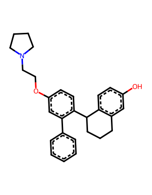 Oc1ccc2c(c1)CCCC2c1ccc(OCCN2CCCC2)cc1-c1ccccc1